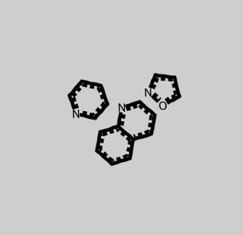 c1ccc2ncccc2c1.c1ccncc1.c1cnoc1